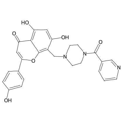 O=C(c1cccnc1)N1CCN(Cc2c(O)cc(O)c3c(=O)cc(-c4ccc(O)cc4)oc23)CC1